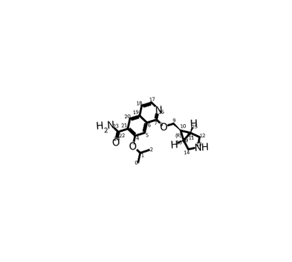 CC(C)Oc1cc2c(OC[C@H]3[C@@H]4CNC[C@@H]43)nccc2cc1C(N)=O